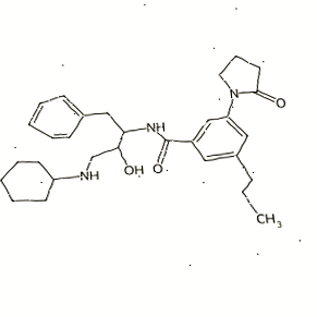 CCCc1cc(C(=O)NC(Cc2ccccc2)C(O)CNC2CCCCC2)cc(N2CCCC2=O)c1